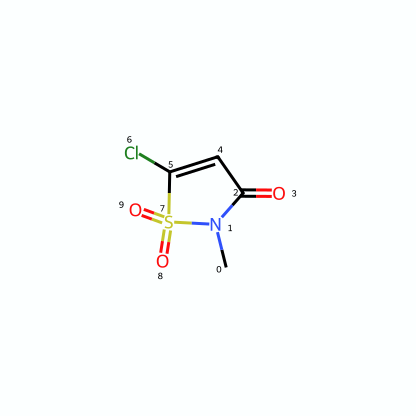 CN1C(=O)C=C(Cl)S1(=O)=O